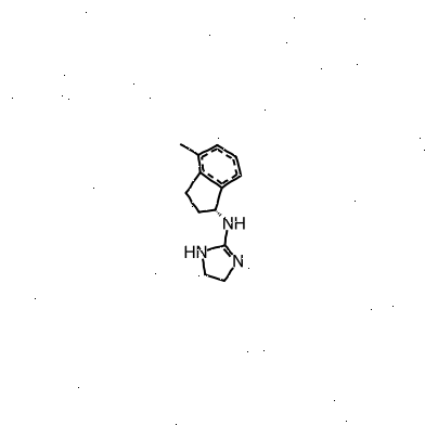 Cc1cccc2c1CC[C@H]2NC1=NCCN1